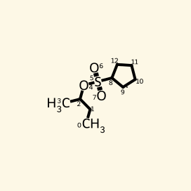 CCC(C)OS(=O)(=O)C1[CH]CCC1